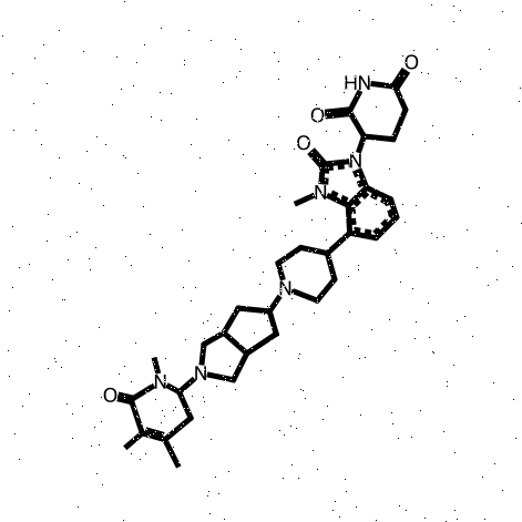 CC1=C(C)C(=O)N(C)C(N2CC3CC(N4CCC(c5cccc6c5n(C)c(=O)n6C5CCC(=O)NC5=O)CC4)CC3C2)C1